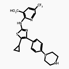 O=C(O)c1cc(C(F)(F)F)cnc1Nc1nc(-c2ccc(N3CCNCC3)cc2)c(C2CC2)s1